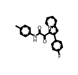 Cc1ccc(NC(=O)C(=O)c2c(-c3ccc(F)cc3)cc3ccccn23)cc1